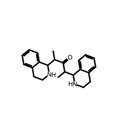 CC(C(=O)C(C)C1NCCc2ccccc21)C1NCCc2ccccc21